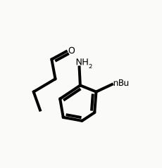 CCCC=O.CCCCc1ccccc1N